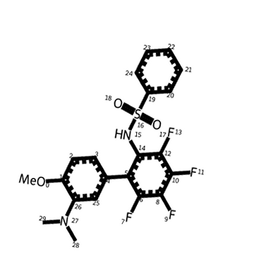 COc1ccc(-c2c(F)c(F)c(F)c(F)c2NS(=O)(=O)c2ccccc2)cc1N(C)C